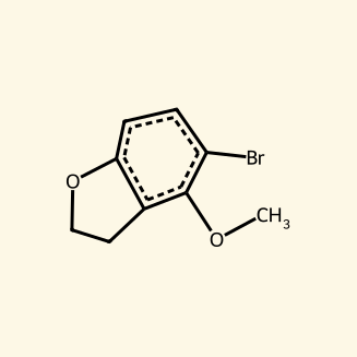 COc1c(Br)ccc2c1CCO2